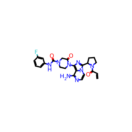 C=CC(=O)N1CCCC1c1nc(N2CCN(C(=O)Nc3cccc(F)c3)CC2=O)c2c(N)nccn12